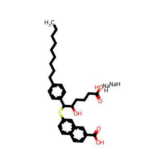 CCCCCCCCCc1ccc(C(Sc2ccc3ccc(C(=O)O)cc3c2)C(O)CCCC(=O)O)cc1.[NaH].[NaH]